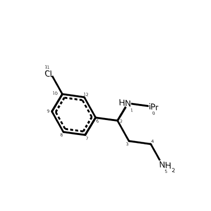 CC(C)NC(CCN)c1cccc(Cl)c1